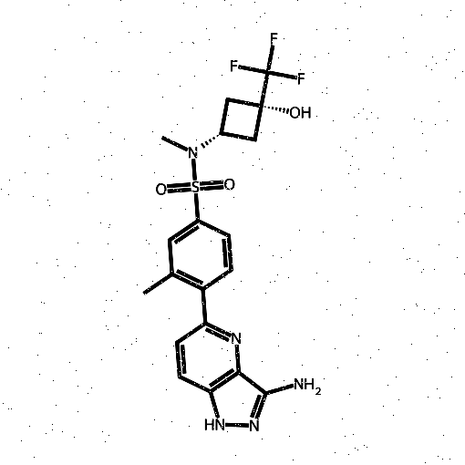 Cc1cc(S(=O)(=O)N(C)[C@H]2C[C@](O)(C(F)(F)F)C2)ccc1-c1ccc2[nH]nc(N)c2n1